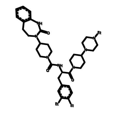 CCc1ccc(C[C@@H](NC(=O)N2CCC(N3CCc4ccccc4NC3=O)CC2)C(=O)N2CCC(N3CCN(CC)CC3)CC2)cc1CC